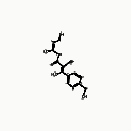 C/C(=N/C=N)NC(=O)/C(=C(\C)c1ccc(CO)nc1)C(C)C